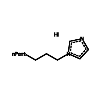 CCCCCCCCn1ccnc1.I